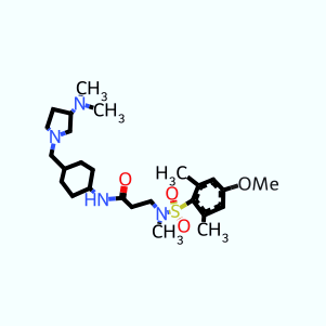 COc1cc(C)c(S(=O)(=O)N(C)CCC(=O)NC2CCC(CN3CCC(N(C)C)C3)CC2)c(C)c1